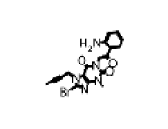 CC#CCn1c(Br)nc2c1c(=O)n(CC(=O)c1ccccc1N)c(=O)n2C